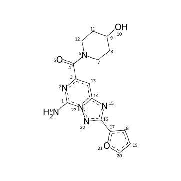 Nc1nc(C(=O)N2CCC(O)CC2)cc2nc(-c3ccco3)nn12